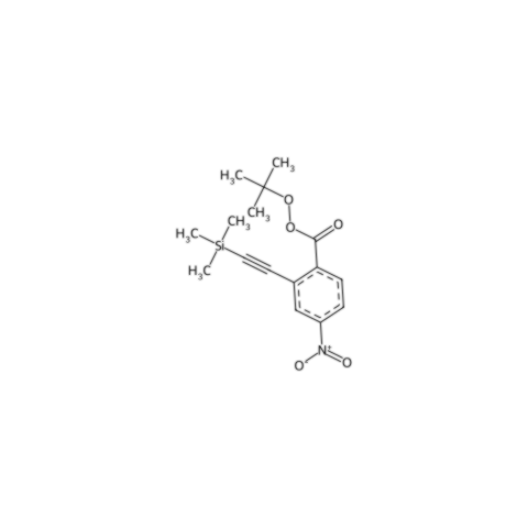 CC(C)(C)OOC(=O)c1ccc([N+](=O)[O-])cc1C#C[Si](C)(C)C